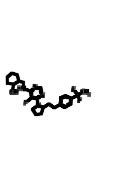 CC(F)(F)c1ccc(CCC2CCCN2c2ncnc(NCC3CCCCC3O)c2F)cc1